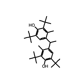 Cc1c(C(C)c2cc(C(C)(C)C)c(O)c(C(C)(C)C)c2C)cc(C(C)(C)C)c(O)c1C(C)(C)C